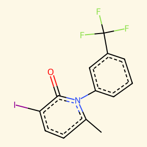 Cc1ccc(I)c(=O)n1-c1cccc(C(F)(F)F)c1